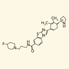 CC1=C(C)C([C@H]2CCCN2)CC=C1c1cn2c(n1)sc1cc(C(=O)NCCCN3CCC(F)CC3)ccc12